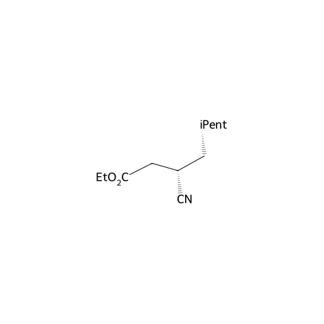 CCC[C@@H](C)C[C@H](C#N)CC(=O)OCC